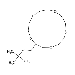 CC(C)(C)OCC1COCCOCCOCCOCCO1